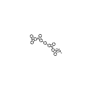 CC1(C)c2ccccc2-c2ccc(-n3c4ccccc4c4cc(-c5ccc(-c6ccc7c(c6)c6ccccc6n7-c6cc7c8ccccc8n8c9ccccc9c(c6)c78)cc5)ccc43)cc21